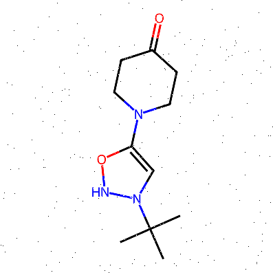 CC(C)(C)N1C=C(N2CCC(=O)CC2)ON1